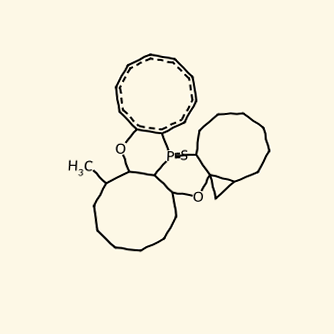 CC1CCCCCCC2OC34CC3CCCCCCC4P3(=S)c4ccccccccc4OC1C23